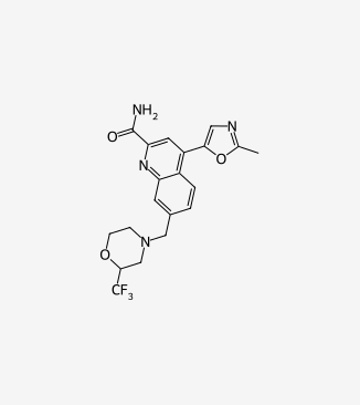 Cc1ncc(-c2cc(C(N)=O)nc3cc(CN4CCOC(C(F)(F)F)C4)ccc23)o1